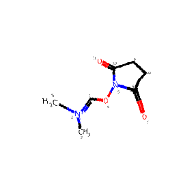 C[N+](C)=CON1C(=O)CCC1=O